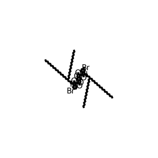 CCCCCCCCCCCCCCCCCCC(CCCCCCCCCCCCCCCCCC)CCCN1C(=O)C(=C2C(=O)Oc3cc4c(cc32)OC(=O)C4=C2C(=O)N(CCCC(CCCCCCCCCCCCCCCCCC)CCCCCCCCCCCCCCCCCC)c3cc(Br)ccc32)c2ccc(Br)cc21